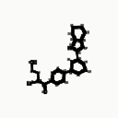 CCN(CCO)C(=O)c1ccc(-c2cncc(-c3cc4ccccc4[nH]3)n2)cc1